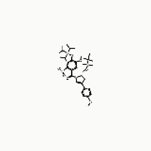 COc1ccc(C2=CN(C(=O)c3cc(OC)c(O[Si](C(C)C)(C(C)C)C(C)C)cc3[N+](=O)[O-])[C@H](CO[Si](C)(C)C(C)(C)C)C2)cc1